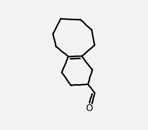 O=CC1CCC2=C(CCCCCC2)C1